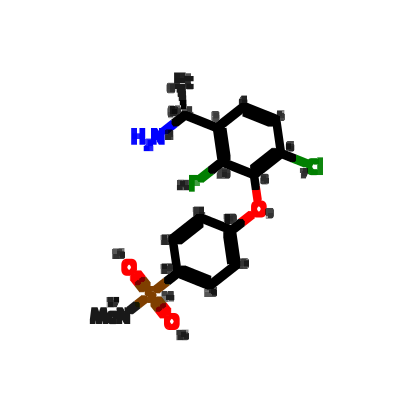 CC[C@@H](N)c1ccc(Cl)c(Oc2ccc(S(=O)(=O)NC)cc2)c1F